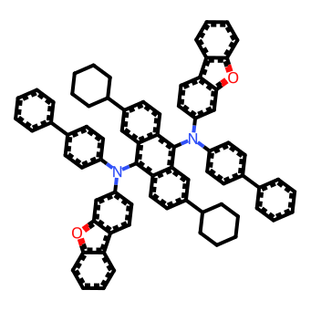 c1ccc(-c2ccc(N(c3ccc4c(c3)oc3ccccc34)c3c4ccc(C5CCCCC5)cc4c(N(c4ccc(-c5ccccc5)cc4)c4ccc5c(c4)oc4ccccc45)c4ccc(C5CCCCC5)cc34)cc2)cc1